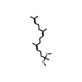 COC(C)(CCC=C(C)CCC=C(C)CCC=C(C)C)OC